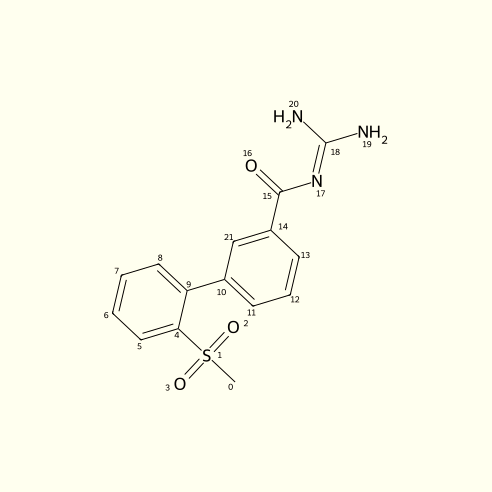 CS(=O)(=O)c1ccccc1-c1cccc(C(=O)N=C(N)N)c1